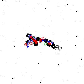 CC1(C)CCC(c2ccc(Cl)cc2)=C(CN2CCN(c3ccc(C(=O)NS(=O)(=O)c4ccc(N[C@H](CCN5CC6CCC(C5)N6Cc5cc(N6CCC(=O)NC6=O)ncc5F)CSc5ccccc5)c(S(=O)(=O)C(F)(F)F)c4)cc3)CC2)C1